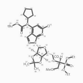 CCOP(=O)(OCC)[C@](COC)(OC[C@H]1O[C@@H](n2ncc3c(N(C(=O)OC(C)(C)C)C4CCCC4)cc(Cl)nc32)[C@@H]2OC(C)(C)O[C@@H]21)C(=O)O